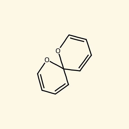 C1=COC2(C=C1)C=CC=CO2